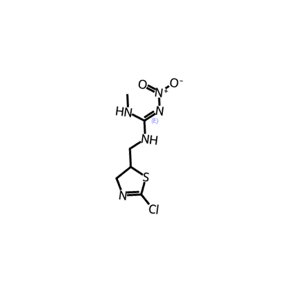 CN/C(=N\[N+](=O)[O-])NCC1CN=C(Cl)S1